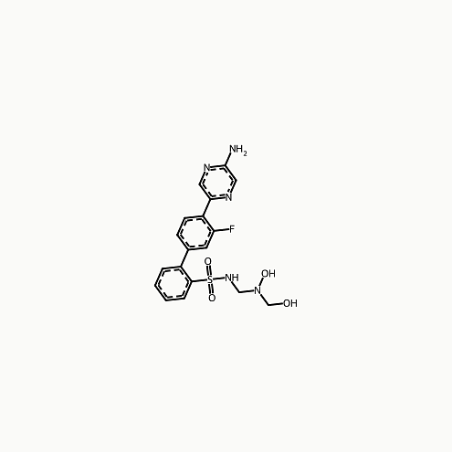 Nc1cnc(-c2ccc(-c3ccccc3S(=O)(=O)NCN(O)CO)cc2F)cn1